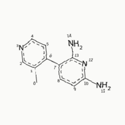 Cc1cnccc1-c1ccc(N)nc1N